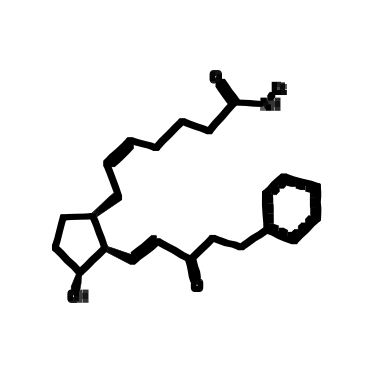 CCNC(=O)CCC/C=C\C[C@@H]1CC[C@H](O)[C@@H]1/C=C/C(=O)CCc1ccccc1